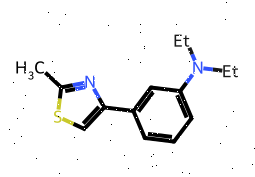 CCN(CC)c1cccc(-c2csc(C)n2)c1